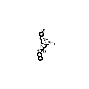 NCCC[C@H](NC(=O)C[C@@H](N)Cc1ccc(Br)cc1)C(=O)Nc1ccc2ccccc2c1